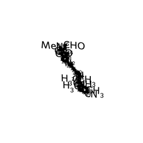 CNC(=O)C(CCC=O)N1C(=O)c2ccc(N3CC(C#Cc4cnn(C(C)(C)C(=O)NC5C(C)CC6CC5CC(C)(C#N)C6)c4)C3)cc2C1=O